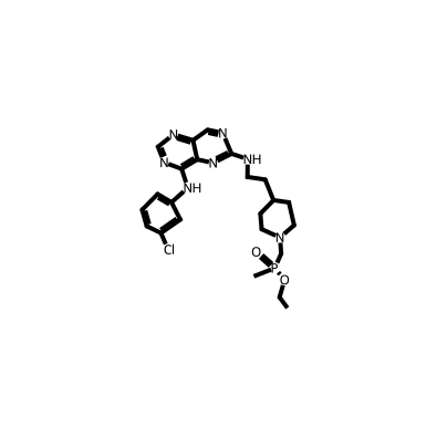 CCOP(C)(=O)CN1CCC(CCNc2ncc3ncnc(Nc4cccc(Cl)c4)c3n2)CC1